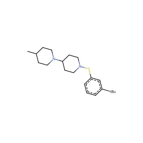 CC1CCN(C2CCN(Sc3cccc(C(C)(C)C)c3)CC2)CC1